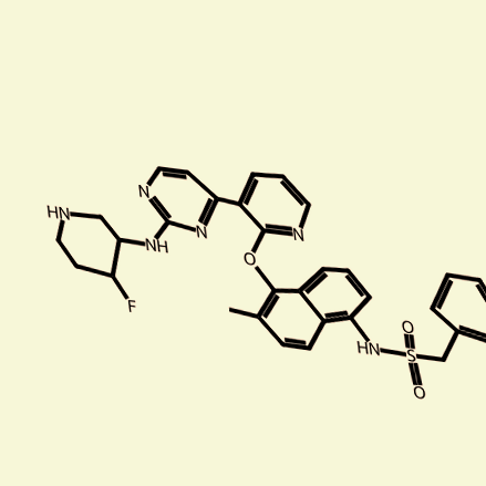 Cc1ccc2c(NS(=O)(=O)Cc3ccccc3)cccc2c1Oc1ncccc1-c1ccnc(NC2CNCCC2F)n1